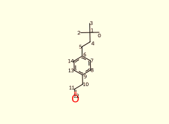 CC(C)(C)CCc1ccc(CC=O)cc1